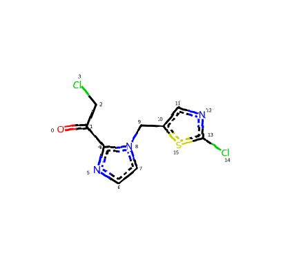 O=C(CCl)c1nccn1Cc1cnc(Cl)s1